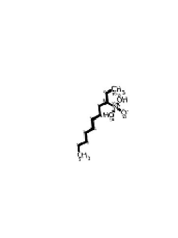 CCCCCCCCC(CC)[N+]([O-])(O)O